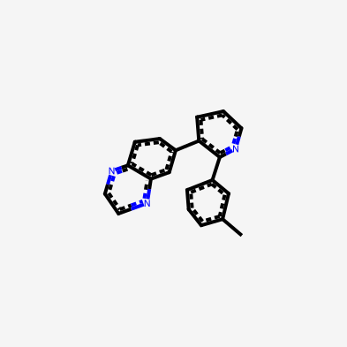 Cc1cccc(-c2ncccc2-c2ccc3nccnc3c2)c1